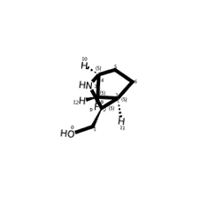 OC[C@H]1N[C@H]2CC[C@@H]1[C@@H]2F